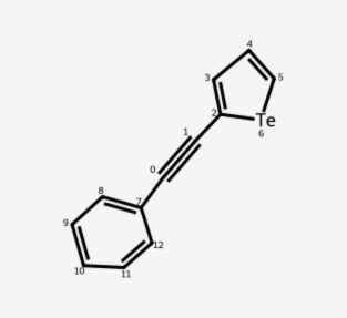 C(#Cc1ccc[te]1)c1ccccc1